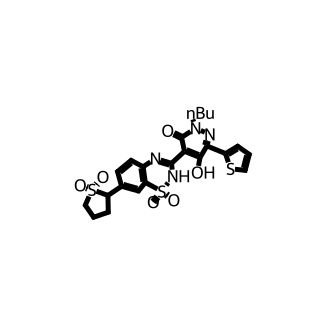 CCCCn1nc(-c2cccs2)c(O)c(C2=Nc3ccc(C4CCCS4(=O)=O)cc3S(=O)(=O)N2)c1=O